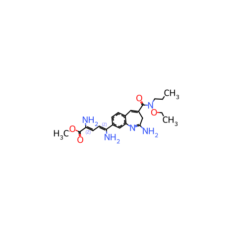 CCCN(OCC)C(=O)C1=Cc2ccc(/C(N)=C/C=C(\N)C(=O)OC)cc2N=C(N)C1